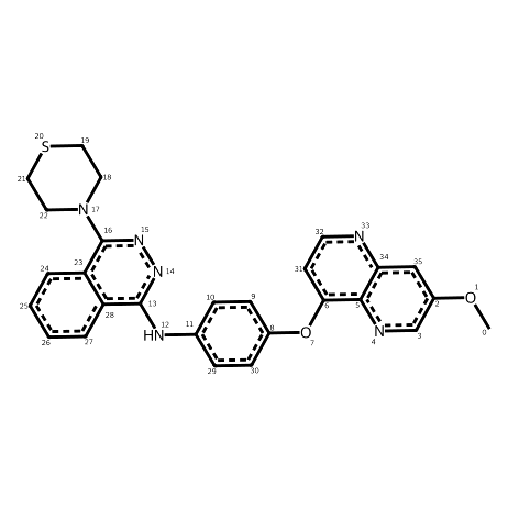 COc1cnc2c(Oc3ccc(Nc4nnc(N5CCSCC5)c5ccccc45)cc3)ccnc2c1